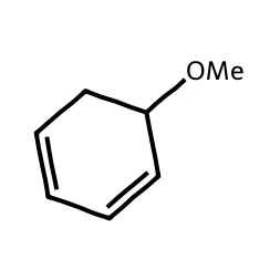 [CH2]OC1C=CC=CC1